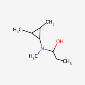 CCC(O)N(C)C1C(C)C1C